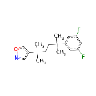 CC(C)(CCC(C)(C)c1cc(F)cc(F)c1)c1cnoc1